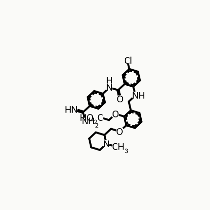 CN1CCCCC1COc1cccc(CNc2ccc(Cl)cc2C(=O)Nc2ccc(C(=N)N)cc2)c1OCC(=O)O